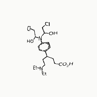 CCN(CC)CCC(CCC(=O)O)c1ccc(N(C(O)CCl)C(O)CCl)cc1